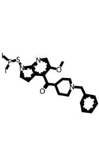 COc1cnc2c(ccn2SP(I)I)c1C(=O)C1CCN(Cc2ccccc2)CC1